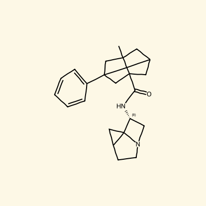 CC12CC3CC1(C(=O)N[C@@H]1CN4CCC5CC514)CC3(c1ccccc1)C2